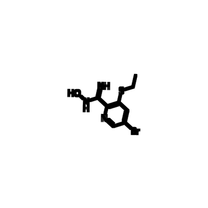 CCSc1cc(Br)cnc1C(=N)NO